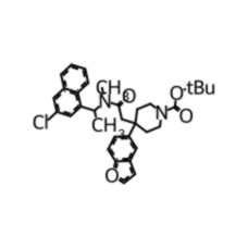 CC(c1cc(Cl)cc2ccccc12)N(C)C(=O)CC1(c2ccc3occc3c2)CCN(C(=O)OC(C)(C)C)CC1